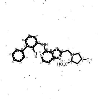 O=C(O)[C@@H]1C[C@H](O)CN1Cc1nc2c(Nc3cccc(-c4ccccc4)c3Cl)nccc2s1